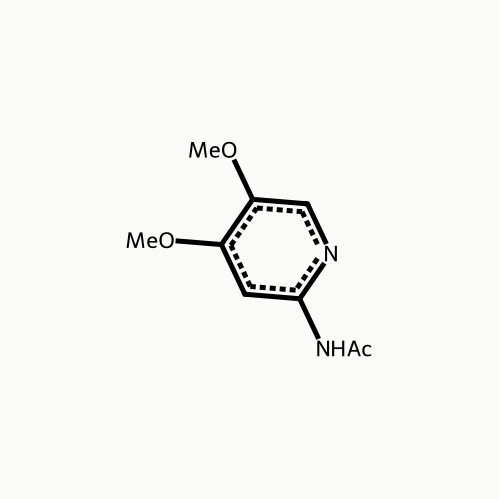 COc1cnc(NC(C)=O)cc1OC